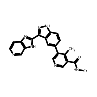 CCNC(=O)c1cncc(-c2ccc3[nH]nc(-c4nc5ccncc5[nH]4)c3c2)c1C